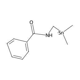 [CH3][Sn]([CH3])[CH2]NC(=O)c1ccccc1